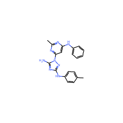 Cc1ccc(Nc2nc(N)n(-c3cc(Nc4ccccc4)nc(C)n3)n2)cc1